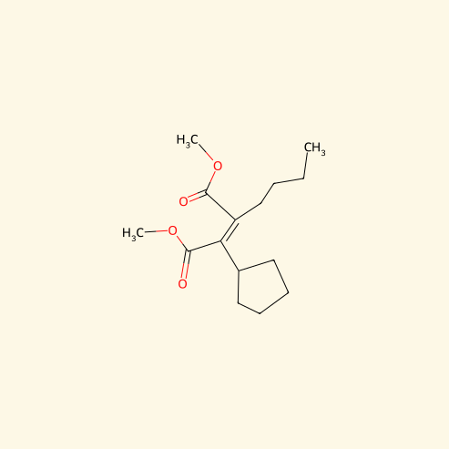 CCCC/C(C(=O)OC)=C(/C(=O)OC)C1CCCC1